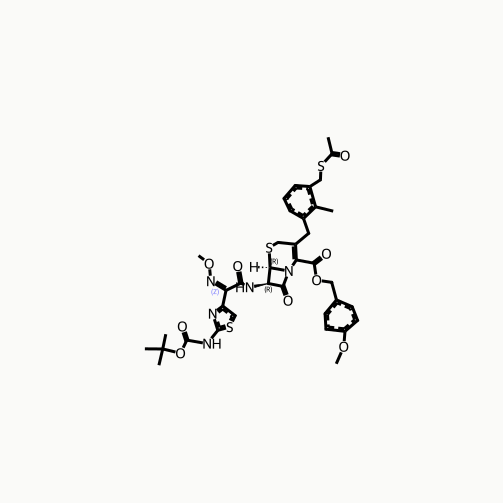 CO/N=C(\C(=O)N[C@@H]1C(=O)N2C(C(=O)OCc3ccc(OC)cc3)=C(Cc3cccc(CSC(C)=O)c3C)CS[C@H]12)c1csc(NC(=O)OC(C)(C)C)n1